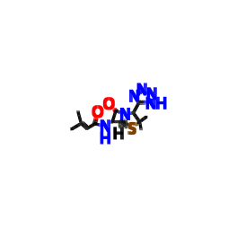 CC(C)=CC(=O)NC1C(=O)N2C(c3nnn[nH]3)C(C)(C)S[C@@H]12